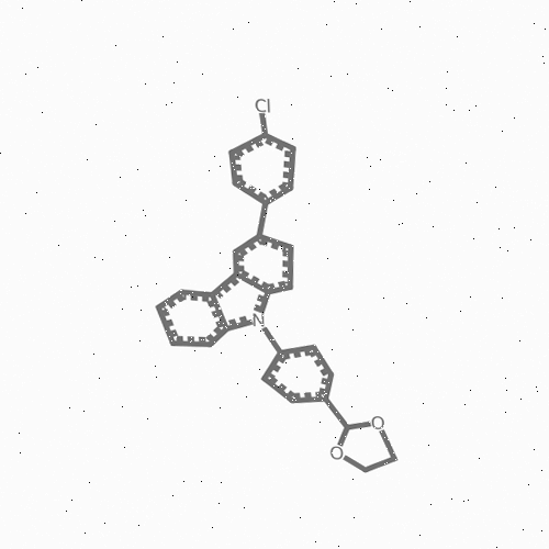 Clc1ccc(-c2ccc3c(c2)c2ccccc2n3-c2ccc(C3OCCO3)cc2)cc1